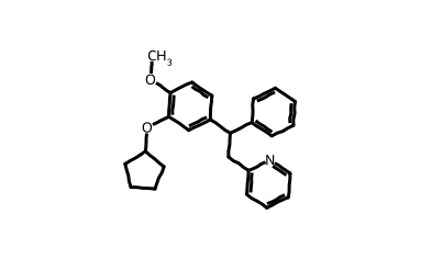 COc1ccc(C(Cc2ccccn2)c2ccccc2)cc1OC1CCCC1